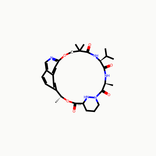 CC(C)[C@@H]1NC(=O)C(C)(C)COc2cc3cc(ccc3cn2)[C@@H](C)OC(=O)[C@@H]2CCCN(N2)C(=O)[C@H](C)NC1=O